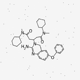 CN(C(=O)CC(CC(=O)N(C)C1CCCCC1)N1Cc2cc(Oc3ccccc3)ccc2N=C1N)C1CCCCC1